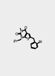 CC(C)Cn1c(=O)n(C)c(=O)c2cc(Cc3ccccc3Br)sc21